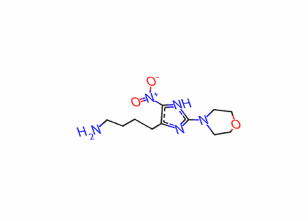 NCCCCc1nc(N2CCOCC2)[nH]c1[N+](=O)[O-]